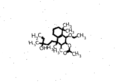 C=CC(C)(O)CCC1(C)C2=C(C(OCC)C(OC(C)=O)C1C)C(C)(C)CCC2